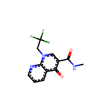 CNC(=O)c1cn(CC(F)(F)F)c2ncccc2c1=O